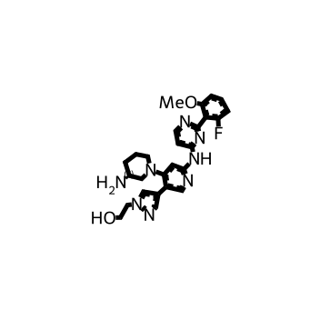 COc1cccc(F)c1-c1nccc(Nc2cc(N3CCC[C@H](N)C3)c(-c3cnn(CCO)c3)cn2)n1